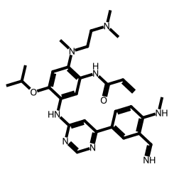 C=CC(=O)Nc1cc(Nc2cc(-c3ccc(NC)c(C=N)c3)ncn2)c(OC(C)C)cc1N(C)CCN(C)C